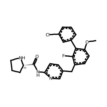 COc1ccc(Cc2ccc(NC(=O)[C@@H]3CCCN3)nc2)c(F)c1-c1cccc(Cl)c1